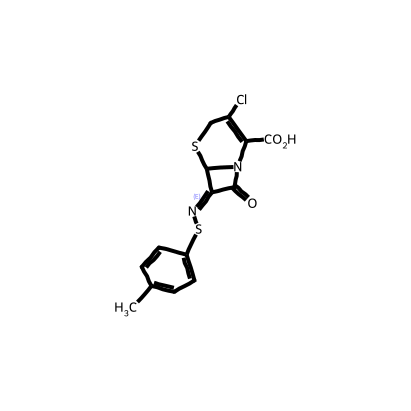 Cc1ccc(S/N=C2\C(=O)N3C(C(=O)O)=C(Cl)CSC23)cc1